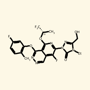 CCn1c(CO)nn(-c2nc(O[C@@H](C)C(F)(F)F)c3c(Oc4cc(F)ccc4C)nncc3c2F)c1=O